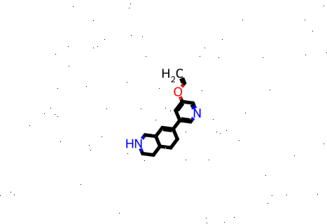 C=COc1cncc(C2=CC3CNCCC3CC2)c1